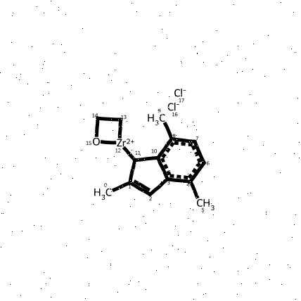 CC1=Cc2c(C)ccc(C)c2[CH]1[Zr+2]1[CH2]C[O]1.[Cl-].[Cl-]